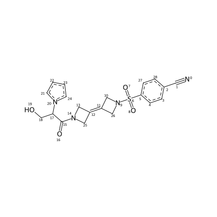 N#Cc1ccc(S(=O)(=O)N2CC(=C3CN(C(=O)C(CO)n4cccc4)C3)C2)cc1